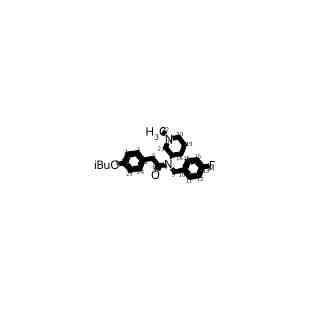 CC(C)COc1ccc(CC(=O)N(Cc2ccc(F)cc2)[C@H]2CCCN(C)C2)cc1